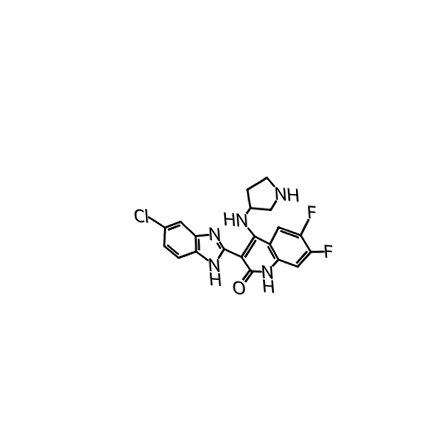 O=c1[nH]c2cc(F)c(F)cc2c(NC2CCNC2)c1-c1nc2cc(Cl)ccc2[nH]1